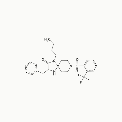 CCCCN1C(=O)C(Cc2ccccc2)NC12CCN(S(=O)(=O)c1ccccc1C(F)(F)F)CC2